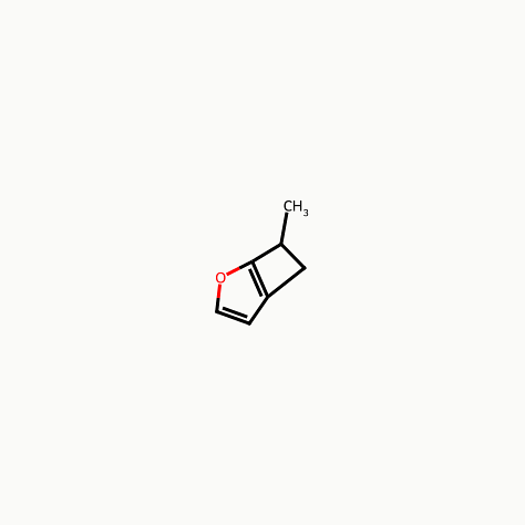 CC1Cc2ccoc21